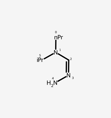 CCCN(/C=N\N)C(C)C